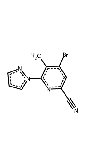 Cc1c(Br)cc(C#N)nc1-n1cccn1